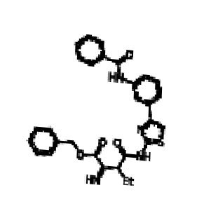 CCC(C(=N)C(=O)OCc1ccccc1)C(=O)Nc1nc(-c2cccc(NC(=O)c3ccccc3)c2)cs1